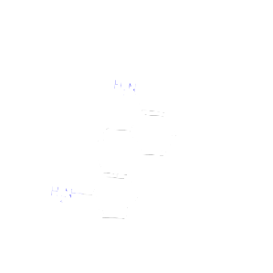 Nc1ccccc1/C=C\c1ccccc1N